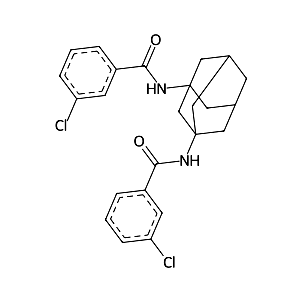 O=C(NC12CC3CC(C1)CC(NC(=O)c1cccc(Cl)c1)(C3)C2)c1cccc(Cl)c1